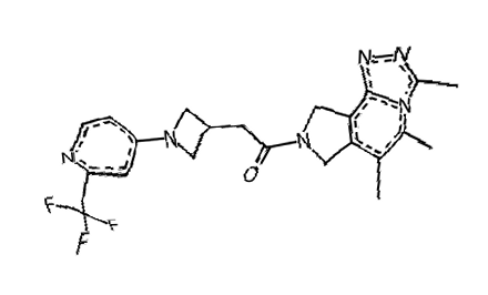 Cc1c2c(c3nnc(C)n3c1C)CN(C(=O)CC1CN(c3ccnc(C(F)(F)F)c3)C1)C2